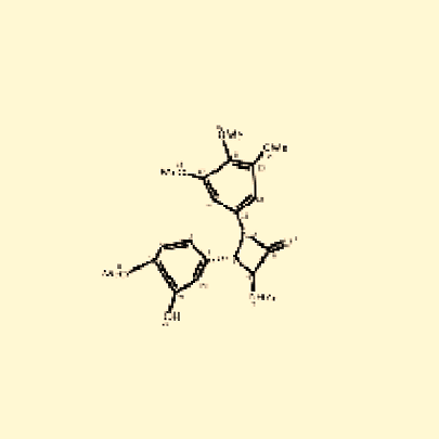 COc1ccc([C@H]2[C@H](NC(C)=O)C(=O)N2c2cc(OC)c(OC)c(OC)c2)cc1O